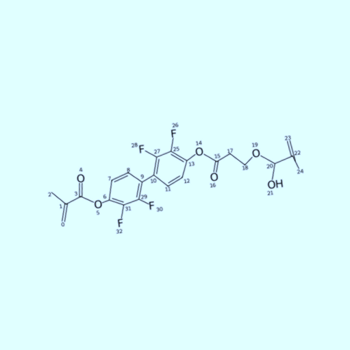 C=C(C)C(=O)Oc1ccc(-c2ccc(OC(=O)CCOC(O)C(=C)C)c(F)c2F)c(F)c1F